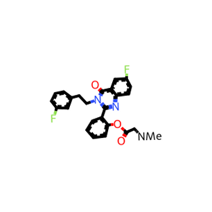 CNCC(=O)Oc1ccccc1-c1nc2ccc(F)cc2c(=O)n1CCc1cccc(F)c1